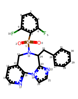 O=S(=O)(c1c(F)cccc1F)N1Cc2cccnc2-n2ccnc2C1Cc1ccccc1